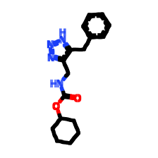 O=C(NCc1nn[nH]c1Cc1ccccc1)OC1CCCCC1